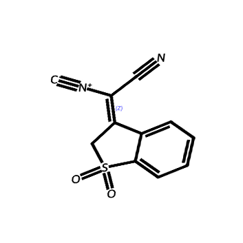 [C-]#[N+]/C(C#N)=C1\CS(=O)(=O)c2ccccc21